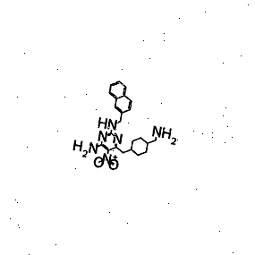 NCC1CCC(Cc2nc(NCc3ccc4ccccc4c3)nc(N)c2[N+](=O)[O-])CC1